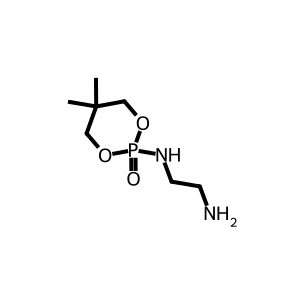 CC1(C)COP(=O)(NCCN)OC1